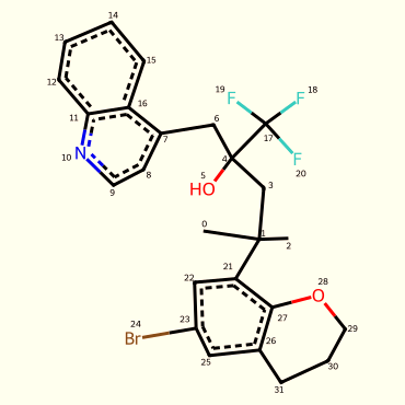 CC(C)(CC(O)(Cc1ccnc2ccccc12)C(F)(F)F)c1cc(Br)cc2c1OCCC2